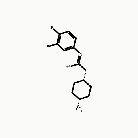 Fc1ccc(N=C(S)C[C@H]2CC[C@@H](C(F)(F)F)CC2)cc1F